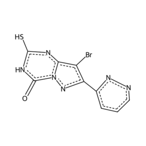 O=c1[nH]c(S)nc2c(Br)c(-c3cccnn3)nn12